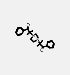 CC(C)(C(=O)c1ccccc1)N1CCN(C(C)(C)C(=O)c2ccccc2)CC1